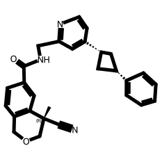 C[C@@]1(C#N)COCc2ccc(C(=O)NCc3cc([C@H]4C[C@@H](c5ccccc5)C4)ccn3)cc21